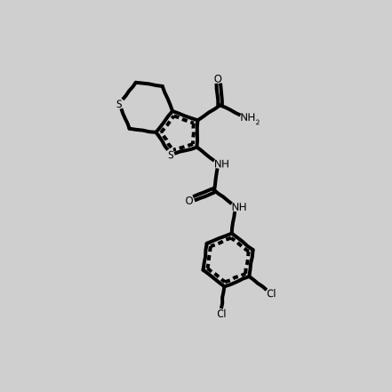 NC(=O)c1c(NC(=O)Nc2ccc(Cl)c(Cl)c2)sc2c1CCSC2